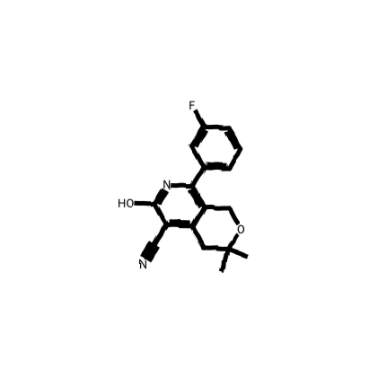 CC1(C)Cc2c(C#N)c(O)nc(-c3cccc(F)c3)c2CO1